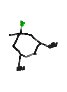 CC1(Br)CC(C(C)(C)C)[CH]C(C(C)(C)C)C1